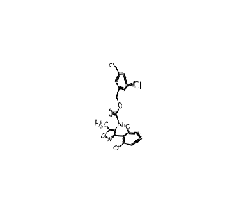 Cc1onc(-c2c(Cl)cccc2Cl)c1NC(=O)OCc1cc(Cl)cc(Cl)c1